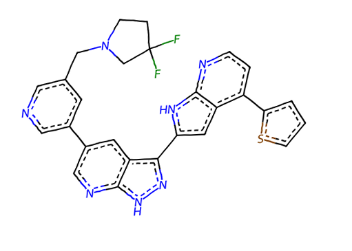 FC1(F)CCN(Cc2cncc(-c3cnc4[nH]nc(-c5cc6c(-c7cccs7)ccnc6[nH]5)c4c3)c2)C1